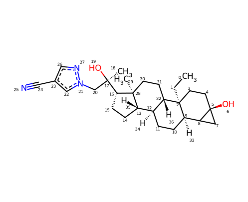 CC[C@]12CC[C@]3(O)CC3[C@H]1CC[C@H]1[C@@H]3CC[C@H]([C@](C)(O)Cn4cc(C#N)cn4)[C@@]3(C)CC[C@@H]12